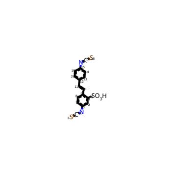 O=S(=O)(O)c1cc(N=C=S)ccc1/C=C/c1ccc(N=C=S)cc1